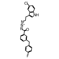 O=C(N=[N+]=NCCc1c[nH]c2ccc(Cl)cc12)c1cccc(Cc2ccc(F)cc2)c1